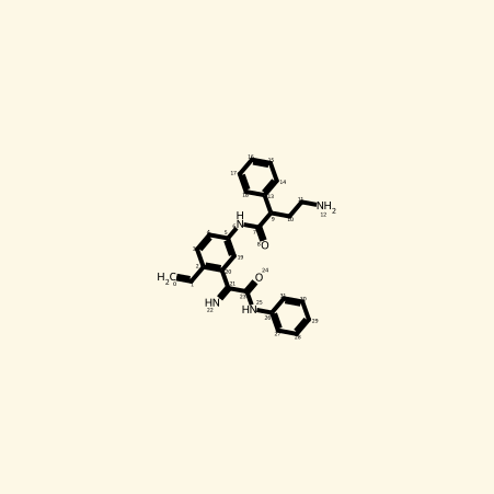 C=Cc1ccc(NC(=O)C(CCN)c2ccccc2)cc1C(=N)C(=O)Nc1ccccc1